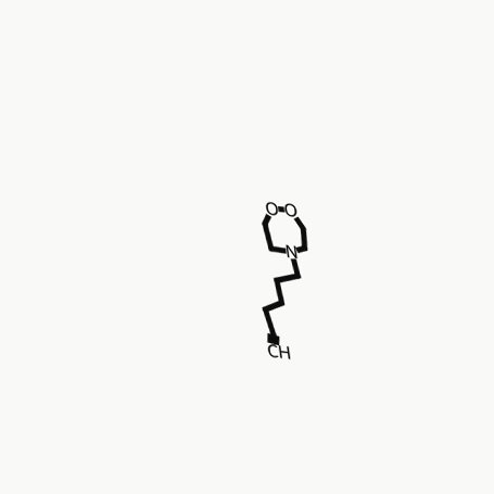 C#CCCCCN1CCOOCC1